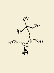 [2H][13C@@H](O)[13C@@H](O)C([2H])([2H])O